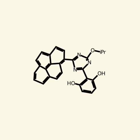 CC(C)Oc1nc(-c2c(O)cccc2O)nc(-c2ccc3ccc4cccc5ccc2c3c45)n1